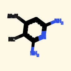 CNc1cc(N)nc(N)c1C#N